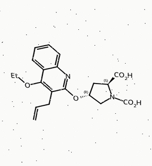 C=CCc1c(O[C@@H]2C[C@@H](C(=O)O)N(C(=O)O)C2)nc2ccccc2c1OCC